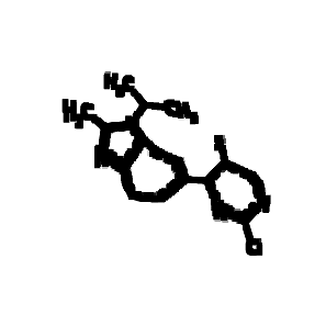 Cc1nc2ccc(-c3nc(Cl)ncc3F)cc2n1C(C)C